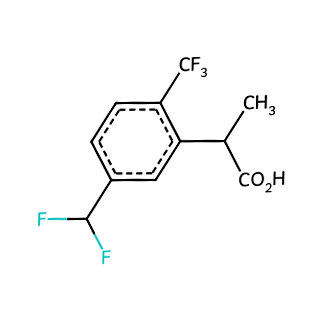 CC(C(=O)O)c1cc(C(F)F)ccc1C(F)(F)F